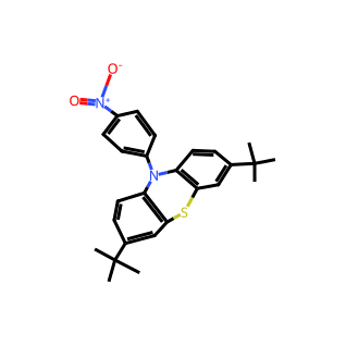 CC(C)(C)c1ccc2c(c1)Sc1cc(C(C)(C)C)ccc1N2c1ccc([N+](=O)[O-])cc1